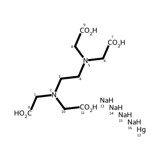 O=C(O)CN(CCN(CC(=O)O)CC(=O)O)CC(=O)O.[Hg].[NaH].[NaH].[NaH].[NaH]